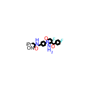 CC(C)CC(NCc1ccc(-n2c(N)c(C(=O)c3ccc(F)cc3F)ccc2=O)cc1)C(=O)N=O